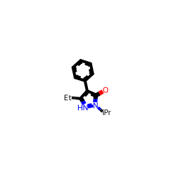 CCc1[nH]n(C(C)C)c(=O)c1-c1ccccc1